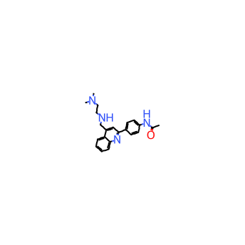 CC(=O)Nc1ccc(-c2cc(CNCCN(C)C)c3ccccc3n2)cc1